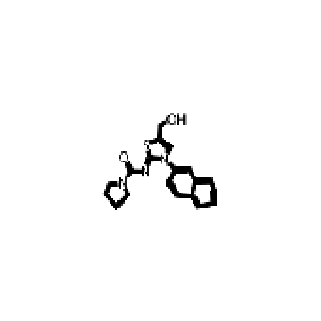 O=C(N=c1sc(CO)cn1-c1ccc2ccccc2c1)N1CCCC1